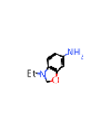 CCN1COc2cc(N)ccc21